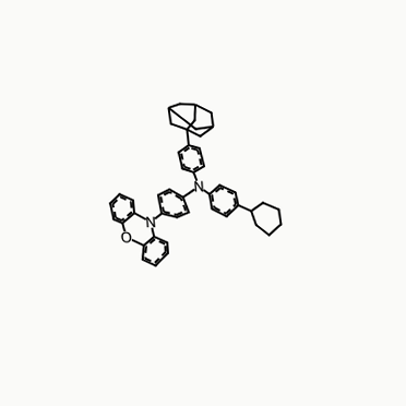 c1ccc2c(c1)Oc1ccccc1N2c1ccc(N(c2ccc(C3CCCCC3)cc2)c2ccc(C34CC5CC(CC(C5)C3)C4)cc2)cc1